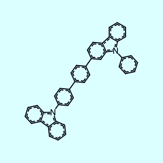 c1ccc(-n2c3ccccc3c3ccc(-c4ccc(-c5ccc(-n6c7ccccc7c7ccccc76)cc5)cc4)cc32)cc1